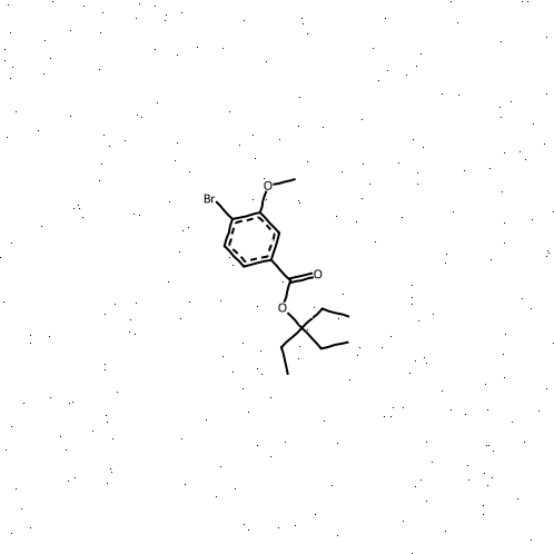 CCC(CC)(CC)OC(=O)c1ccc(Br)c(OC)c1